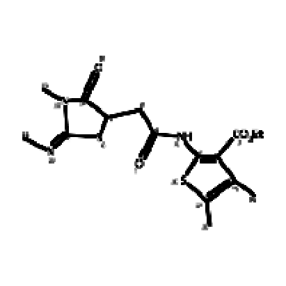 CCOC(=O)c1c(NC(=O)CC2SC(=NC)N(C)C2=O)sc(C)c1C